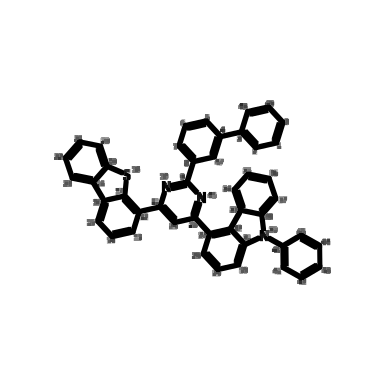 c1ccc(-c2cccc(-c3nc(-c4cccc5c4sc4ccccc45)cc(-c4cccc5c4c4ccccc4n5-c4ccccc4)n3)c2)cc1